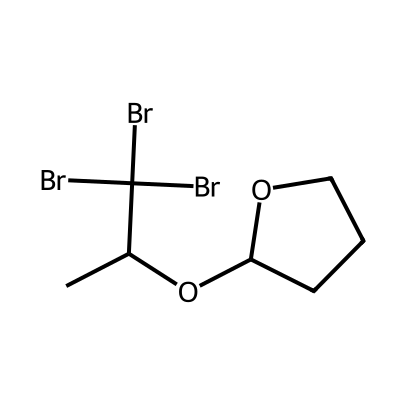 CC(OC1CCCO1)C(Br)(Br)Br